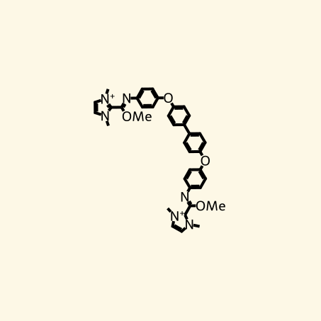 CO/C(=N\c1ccc(Oc2ccc(-c3ccc(Oc4ccc(/N=C(\OC)c5n(C)cc[n+]5C)cc4)cc3)cc2)cc1)c1n(C)cc[n+]1C